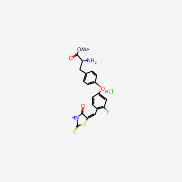 COC(=O)[C@@H](N)Cc1ccc(Oc2ccc(C=C3SC(=S)NC3=O)c(F)c2)cc1.Cl